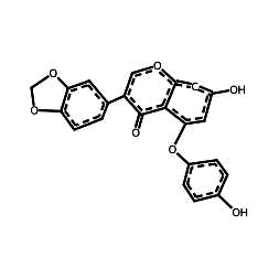 O=c1c(-c2ccc3c(c2)OCO3)coc2cc(O)cc(Oc3ccc(O)cc3)c12